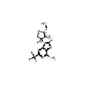 Nc1nc(C(F)(F)F)nc2c1nc(Cl)n2[C@]1(F)CO[C@H](CO)[C@H]1O